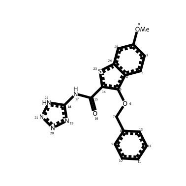 COc1ccc2c(OCc3ccccc3)c(C(=O)Nc3nnn[nH]3)sc2c1